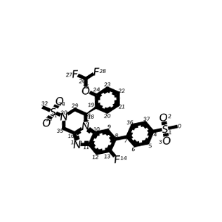 CS(=O)(=O)c1ccc(-c2cc3c(cc2F)nc2n3[C@H](c3ccccc3OC(F)F)CN(S(C)(=O)=O)C2)cc1